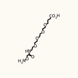 NOCC(=O)NCCOCCOCCOCCOCCCC(=O)O